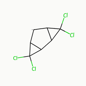 ClC1(Cl)C2[CH]C3C(C21)C3(Cl)Cl